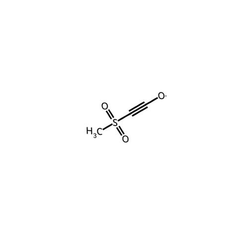 CS(=O)(=O)C#C[O]